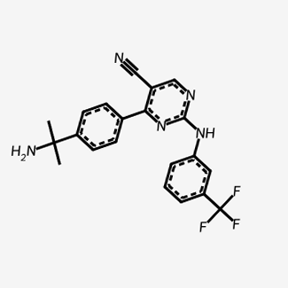 CC(C)(N)c1ccc(-c2nc(Nc3cccc(C(F)(F)F)c3)ncc2C#N)cc1